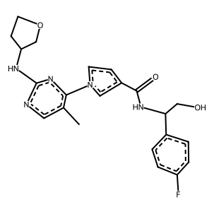 Cc1cnc(NC2CCOC2)nc1-n1ccc(C(=O)NC(CO)c2ccc(F)cc2)c1